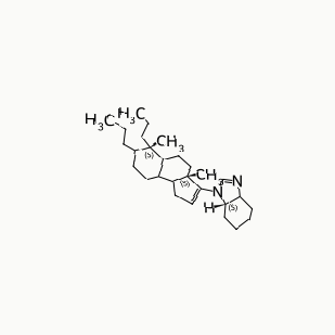 CCCC1CCC2C(CC[C@]3(C)C(N4C=NC5CCCC[C@@H]54)=CCC23)[C@@]1(C)CCC